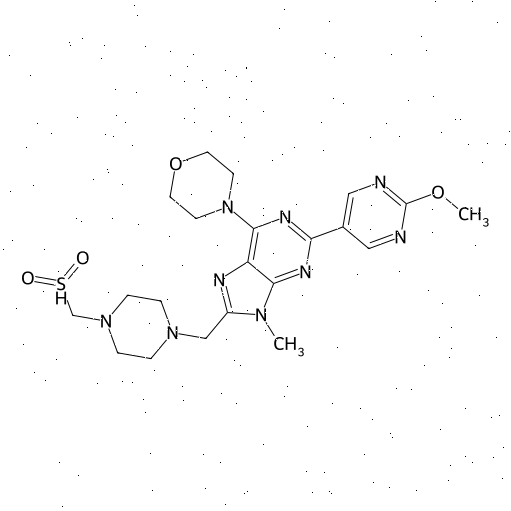 COc1ncc(-c2nc(N3CCOCC3)c3nc(CN4CCN(C[SH](=O)=O)CC4)n(C)c3n2)cn1